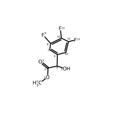 COC(=O)C(O)c1cc(F)c(F)c(F)c1